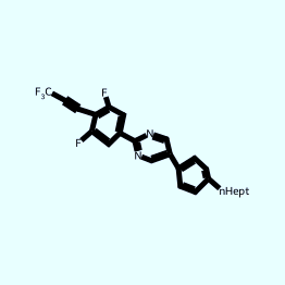 CCCCCCCc1ccc(-c2cnc(-c3cc(F)c(C#CC(F)(F)F)c(F)c3)nc2)cc1